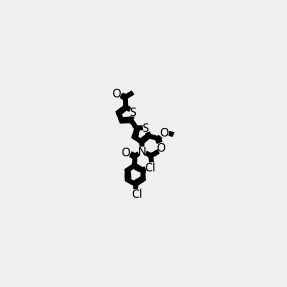 COC(=O)c1sc(-c2ccc(C(C)=O)s2)cc1N(C(=O)c1ccc(Cl)cc1Cl)C(C)C